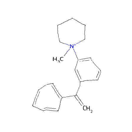 C=C(c1ccccc1)c1cccc([N+]2(C)CCCCC2)c1